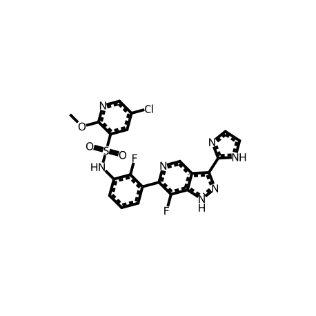 COc1ncc(Cl)cc1S(=O)(=O)Nc1cccc(-c2ncc3c(-c4ncc[nH]4)n[nH]c3c2F)c1F